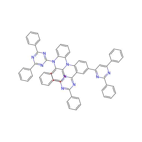 c1ccc(-c2cc(-c3ccc(N4c5ccccc5N(c5nc(-c6ccccc6)nc(-c6ccccc6)n5)c5ccccc54)c(-c4nc(-c5ccccc5)nc(-c5ccccc5)n4)c3)nc(-c3ccccc3)n2)cc1